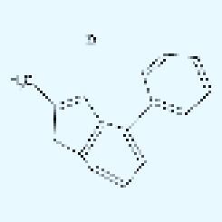 CC1=Cc2c(cccc2-c2ccccc2)C1.[Zr]